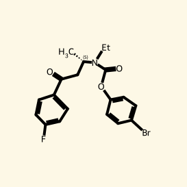 CCN(C(=O)Oc1ccc(Br)cc1)[C@@H](C)CC(=O)c1ccc(F)cc1